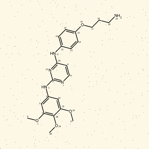 COc1cc(Nc2nccc(Nc3ccc(OCCCN)cc3)n2)cc(OC)c1OC